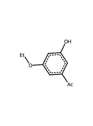 CCOc1cc(O)cc(C(C)=O)c1